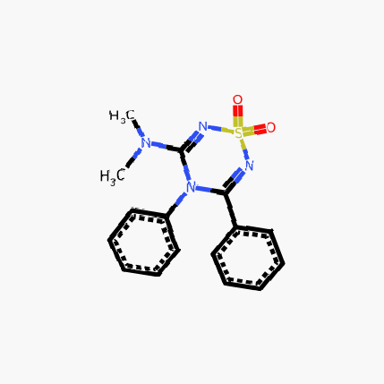 CN(C)C1=NS(=O)(=O)N=C(c2ccccc2)N1c1ccccc1